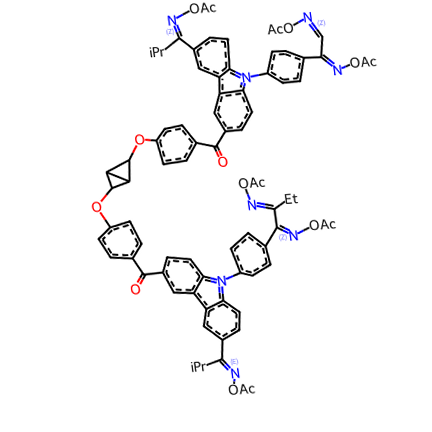 CCC(=NOC(C)=O)/C(=N\OC(C)=O)c1ccc(-n2c3ccc(C(=O)c4ccc(OC5C6C(Oc7ccc(C(=O)c8ccc9c(c8)c8cc(/C(=N\OC(C)=O)C(C)C)ccc8n9-c8ccc(C(/C=N\OC(C)=O)=NOC(C)=O)cc8)cc7)C56)cc4)cc3c3cc(/C(=N/OC(C)=O)C(C)C)ccc32)cc1